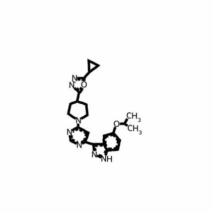 CC(C)Oc1ccc2[nH]nc(-c3cc(N4CCC(c5nnc(C6CC6)o5)CC4)ncn3)c2c1